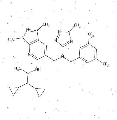 Cc1nn(C)c2nc(NC(C)C(C3CC3)C3CC3)c(CN(Cc3cc(C(F)(F)F)cc(C(F)(F)F)c3)c3nnn(C)n3)cc12